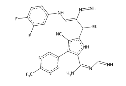 CCC(/C(=C/Nc1ccc(F)c(F)c1)N=N)c1[nH]c(/C(N)=N\C=N)c(-c2cnc(C(F)(F)F)nc2)c1C#N